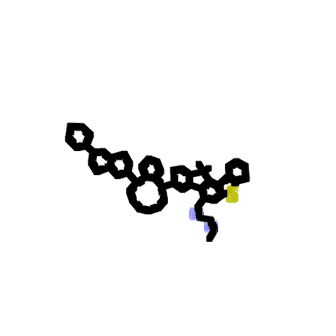 C/C=C\C=C/c1cc2sc3ccccc3c2c2c1-c1cc(-c3ccccccc(-c4ccc5cc(-c6ccccc6)ccc5c4)c4ccccc34)ccc1C2(C)C